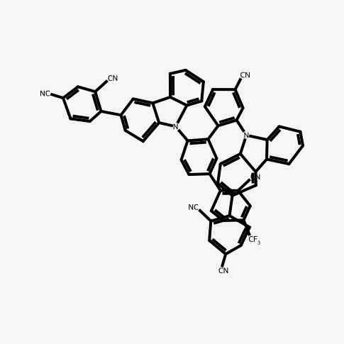 N#Cc1ccc(-c2ccc3c(c2)c2ccccc2n3-c2ccc(-c3ccc(C(F)(F)F)cc3C#N)cc2-c2ccc(C#N)cc2-n2c3ccccc3c3cc(-c4ccc(C#N)cc4C#N)ccc32)c(C#N)c1